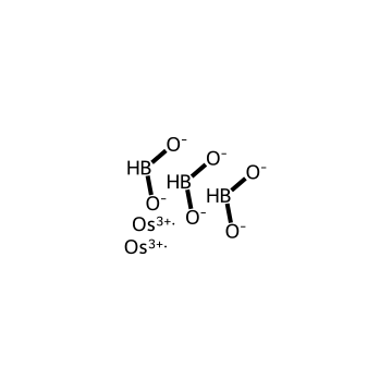 [O-]B[O-].[O-]B[O-].[O-]B[O-].[Os+3].[Os+3]